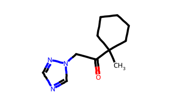 CC1(C(=O)Cn2cncn2)CCCCC1